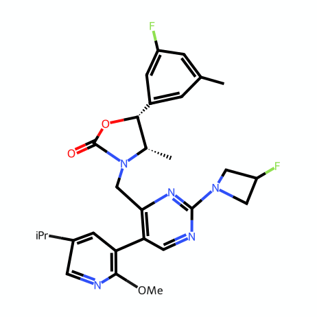 COc1ncc(C(C)C)cc1-c1cnc(N2CC(F)C2)nc1CN1C(=O)O[C@H](c2cc(C)cc(F)c2)[C@@H]1C